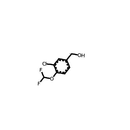 O[CH]c1ccc(OC(F)F)c(Cl)c1